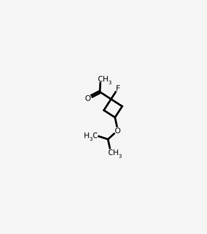 CC(=O)C1(F)CC(OC(C)C)C1